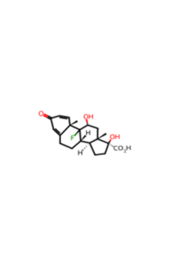 C[C@]12C=CC(=O)C=C1CC[C@H]1[C@@H]3CC[C@@](O)(C(=O)O)[C@@]3(C)C[C@H](O)C12F